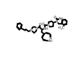 Cc1ccccc1CN(C(N)=O)C1CCN(C(=O)NC(Cc2cccn[nH]ccc2)C(=O)N2CCN(C/C=C/c3ccccc3)CC2)CC1